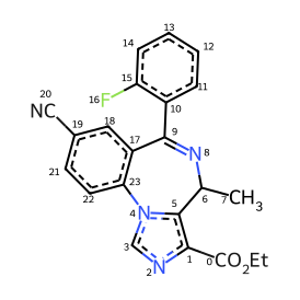 CCOC(=O)c1ncn2c1C(C)N=C(c1ccccc1F)c1cc(C#N)ccc1-2